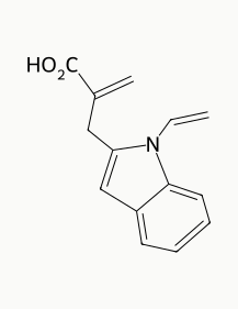 C=Cn1c(CC(=C)C(=O)O)cc2ccccc21